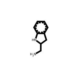 NCC1Cc2ccccc2N1